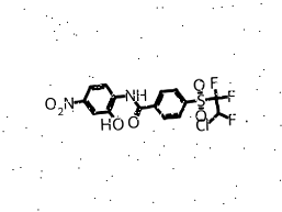 O=C(Nc1ccc([N+](=O)[O-])cc1O)c1ccc(S(=O)(=O)C(F)(F)C(F)Cl)cc1